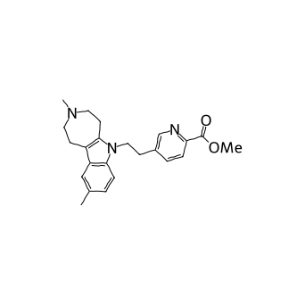 COC(=O)c1ccc(CCn2c3c(c4cc(C)ccc42)CCN(C)CC3)cn1